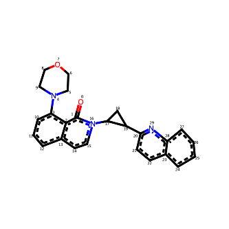 O=c1c2c(N3CCOCC3)cccc2ccn1C1CC1c1ccc2ccccc2n1